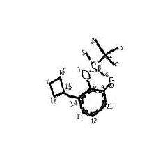 CC(C)(C)[Si](C)(C)Oc1c(F)cccc1C1CCC1